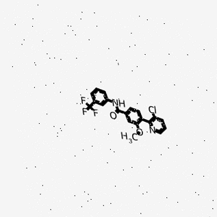 COc1cc(C(=O)Nc2cccc(C(F)(F)F)c2)ccc1-c1ncccc1Cl